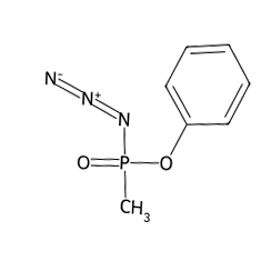 CP(=O)(N=[N+]=[N-])Oc1ccccc1